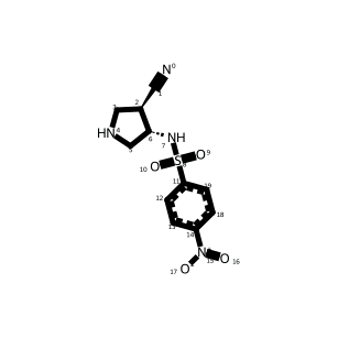 N#C[C@@H]1CNC[C@H]1NS(=O)(=O)c1ccc([N+](=O)[O-])cc1